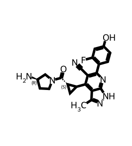 Cc1n[nH]c2nc(-c3ccc(O)cc3F)c(C#N)c(C3C[C@@H]3C(=O)N3CC[C@@H](N)C3)c12